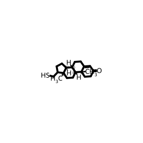 C[C@]12CCC(=O)C=C1CC[C@@H]1[C@H]2CC[C@]2(C)C(CS)CC[C@@H]12